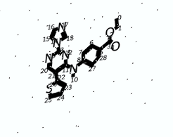 CCOC(=O)c1ccc(N(C)c2nc(-n3ccnc3)ncc2-c2cccs2)cc1